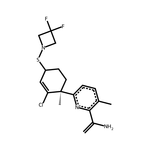 C=C(N)c1nc([C@]2(C)CCC(SN3CC(F)(F)C3)C=C2Cl)ccc1C